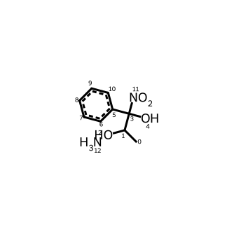 CC(O)C(O)(c1ccccc1)[N+](=O)[O-].N